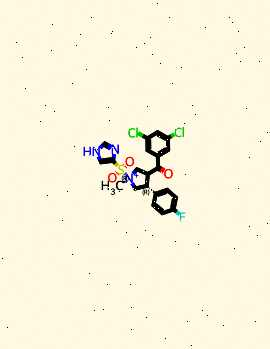 C[N@+]1(S(=O)(=O)c2c[nH]cn2)CC(C(=O)c2cc(Cl)cc(Cl)c2)[C@H](c2ccc(F)cc2)C1